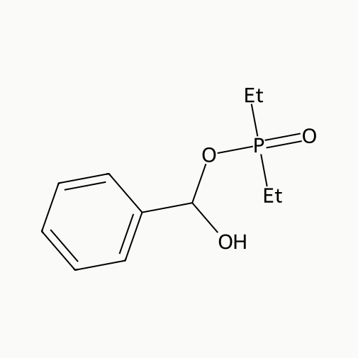 CCP(=O)(CC)OC(O)c1ccccc1